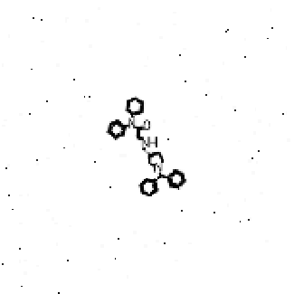 O=C(CNC[C@@H]1CCN(C(c2ccccc2)c2ccccc2)C1)N(c1ccccc1)c1ccccc1